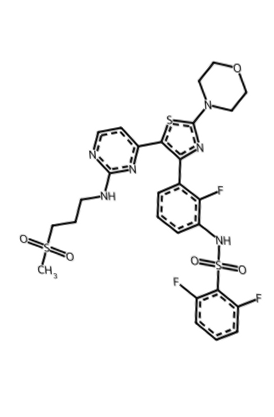 CS(=O)(=O)CCCNc1nccc(-c2sc(N3CCOCC3)nc2-c2cccc(NS(=O)(=O)c3c(F)cccc3F)c2F)n1